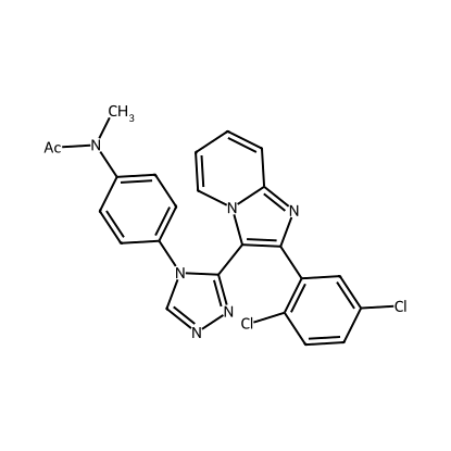 CC(=O)N(C)c1ccc(-n2cnnc2-c2c(-c3cc(Cl)ccc3Cl)nc3ccccn23)cc1